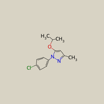 Cc1cc(OC(C)C)n(-c2ccc(Cl)cc2)n1